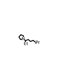 CCC(CCCC(C)C)N1CCCC1